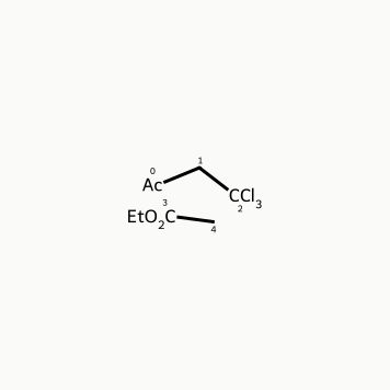 CC(=O)CC(Cl)(Cl)Cl.CCOC(C)=O